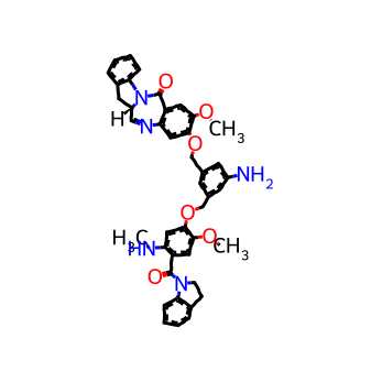 CNc1cc(OCc2cc(N)cc(COc3cc4c(cc3OC)C(=O)N3c5ccccc5C[C@H]3C=N4)c2)c(OC)cc1C(=O)N1CCc2ccccc21